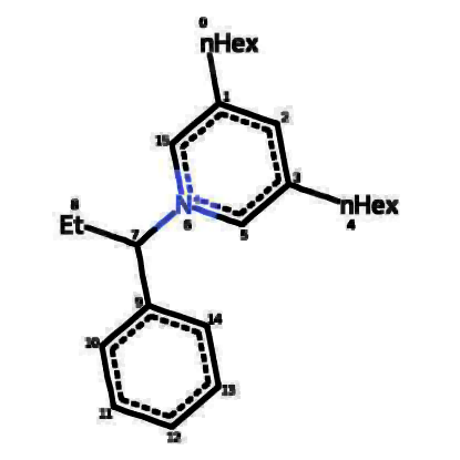 CCCCCCc1cc(CCCCCC)c[n+](C(CC)c2ccccc2)c1